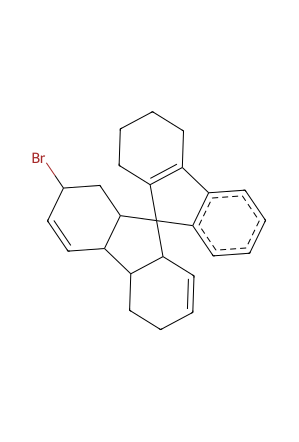 BrC1C=CC2C3CCC=CC3C3(C4=C(CCCC4)c4ccccc43)C2C1